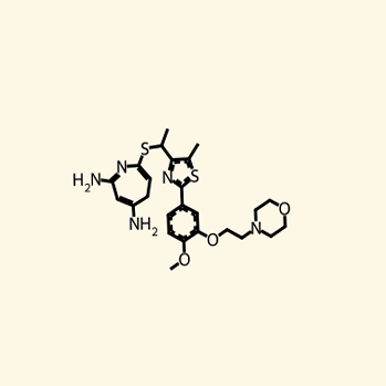 COc1ccc(-c2nc(C(C)SC3=CCC(N)=CC(N)=N3)c(C)s2)cc1OCCN1CCOCC1